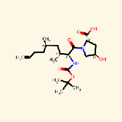 C=CCC[C@@H](C)C[C@@H](C)[C@H](NC(=O)OC(C)(C)C)C(=O)N1C[C@H](O)C[C@H]1C(=O)O